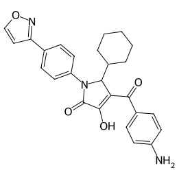 Nc1ccc(C(=O)C2=C(O)C(=O)N(c3ccc(-c4ccon4)cc3)C2C2CCCCC2)cc1